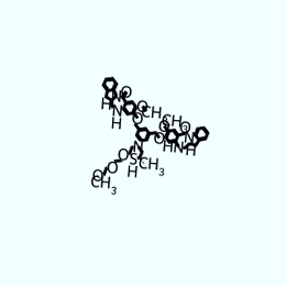 COCCOCCOCCN(C[C@H](C)S)c1cc(COc2cc3c(cc2OC)C(=O)N2c4ccccc4C[C@H]2CN3)cc(COc2cc3c(cc2OC)C(=O)N2c4ccccc4C[C@H]2CN3)c1